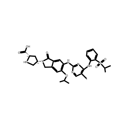 CC(C)Oc1cc2c(cc1Nc1ncc(I)c(Nc3ccccc3S(=O)(=O)C(C)C)n1)C(=O)N([C@@H]1CN[C@H](C(=O)O)C1)C2